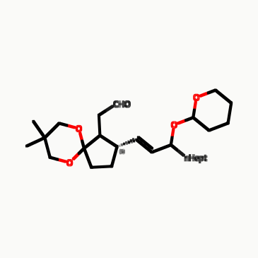 CCCCCCCC(C=C[C@@H]1CCC2(OCC(C)(C)CO2)C1CC=O)OC1CCCCO1